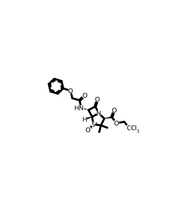 CC1(C)[C@H](C(=O)OCC(Cl)(Cl)Cl)N2C(=O)[C@@H](NC(=O)COc3ccccc3)[C@H]2[S+]1[O-]